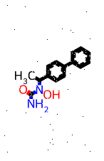 CC(c1ccc(-c2ccccc2)cc1)N(O)C(N)=O